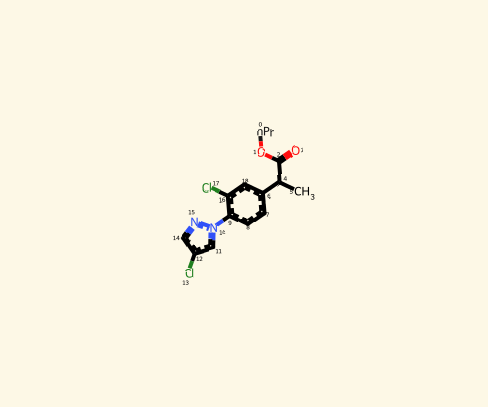 CCCOC(=O)C(C)c1ccc(-n2cc(Cl)cn2)c(Cl)c1